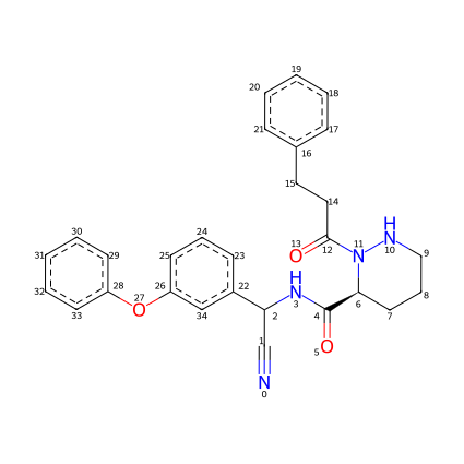 N#CC(NC(=O)[C@@H]1CCCNN1C(=O)CCc1ccccc1)c1cccc(Oc2ccccc2)c1